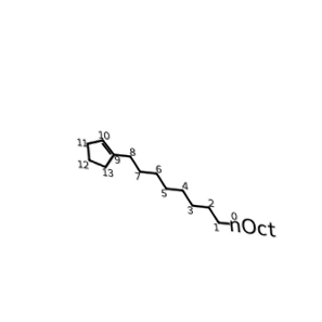 CCCCCCCCCCCCCCCCC1=CCCC1